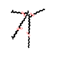 CCC(CCCCCCCCCCC(=O)OCCCCCC(C)C)CC(=O)OCCCCCC(C)C.CCCCCCCCOC(=O)CCCCCCCCCCC(CC)CC(=O)OCCCCCCCC